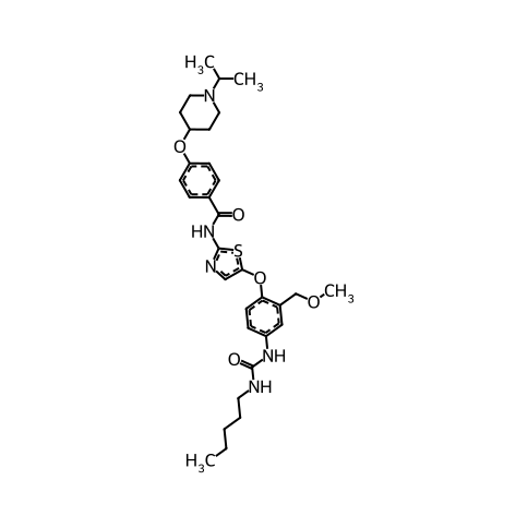 CCCCCNC(=O)Nc1ccc(Oc2cnc(NC(=O)c3ccc(OC4CCN(C(C)C)CC4)cc3)s2)c(COC)c1